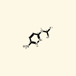 Nc1ccc(OC(F)F)nn1